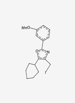 COc1cccc(-c2nc(CI)c(C3CCCCC3)o2)c1